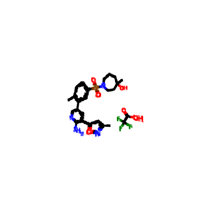 Cc1cc(-c2cc(-c3cc(S(=O)(=O)N4CCCC(C)(O)CC4)ccc3C)cnc2N)on1.O=C(O)C(F)(F)F